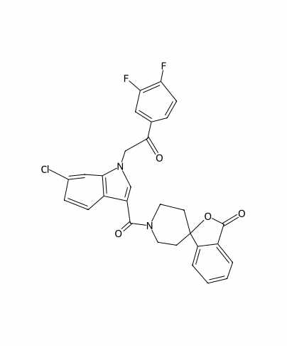 O=C(Cn1cc(C(=O)N2CCC3(CC2)OC(=O)c2ccccc23)c2ccc(Cl)cc21)c1ccc(F)c(F)c1